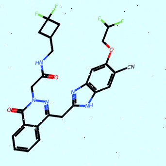 N#Cc1cc2[nH]c(Cc3nn(CC(=O)NCC4CC(F)(F)C4)c(=O)c4ccccc34)nc2cc1OCC(F)F